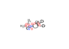 COc1ccnc(C(=O)N[C@H]2CCCC[C@H](OCc3ccccc3)[C@@H](OCc3ccccc3)[C@H](C)OC2=O)c1OC(C)=O